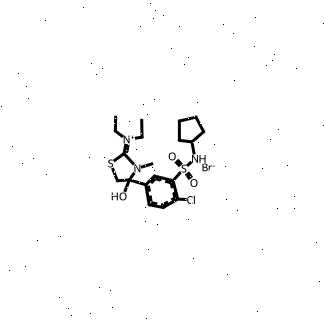 CC[N+](CC)=C1SCC(O)(c2ccc(Cl)c(S(=O)(=O)NC3CCCC3)c2)N1C.[Br-]